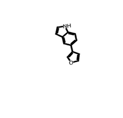 c1cc2cc(-c3ccoc3)ccc2[nH]1